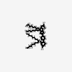 CCCCCCCCC(CCCCCCCC)n1c2cc(C)ccc2c2ccc(-c3cc4c(s3)-c3sc(C)cc3C4(CCCCCCCC)CCCCCCCC)cc21